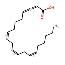 CCCCC/C=C\C/C=C\C/C=C\CCCC=C=CC(=O)O